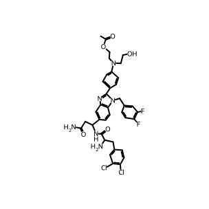 CC(=O)OCCN(CCO)c1ccc(-c2nc3cc(C(CC(N)=O)NC(=O)C(N)Cc4ccc(Cl)c(Cl)c4)ccc3n2Cc2ccc(F)c(F)c2)cc1